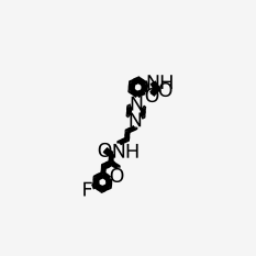 O=C(NCCCCN1CCN(c2cccc3[nH]c(=O)oc23)CC1)C1=Cc2cc(F)ccc2OC1